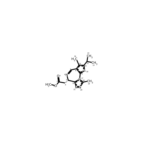 COC(=O)C[C@@H]1N=Cc2c(sc(C(C)C)c2C)-n2c(C)nnc21